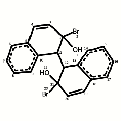 OC1(Br)C=Cc2ccccc2C1C1c2ccccc2C=CC1(O)Br